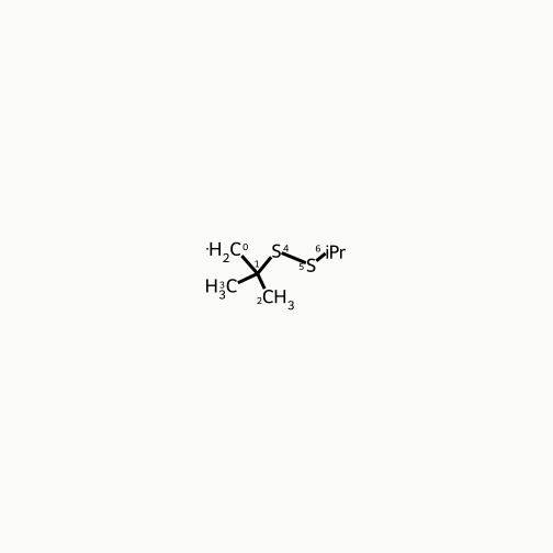 [CH2]C(C)(C)SSC(C)C